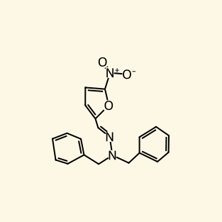 O=[N+]([O-])c1ccc(C=NN(Cc2ccccc2)Cc2ccccc2)o1